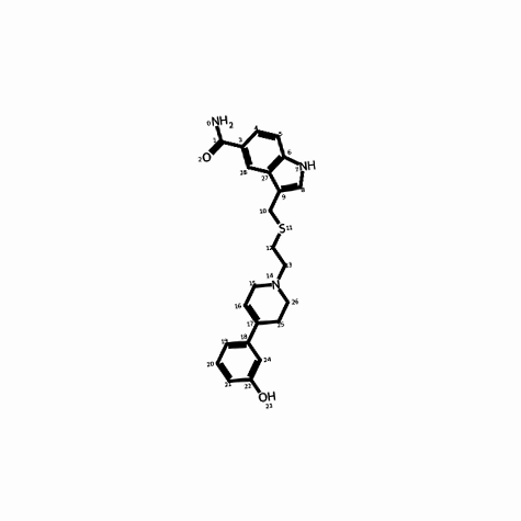 NC(=O)c1ccc2[nH]cc(CSCCN3CC=C(c4cccc(O)c4)CC3)c2c1